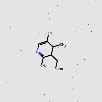 CCCCCCC1C(C)=NC=C(C)C1C